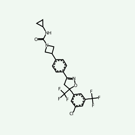 O=C(NC1CC1)N1CC(c2ccc(C3=NOC(c4cc(Cl)cc(C(F)(F)F)c4)(C(F)(F)F)C3)cc2)C1